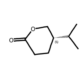 CC(C)[C@@H]1CCC(=O)OC1